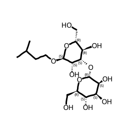 CC(C)CCO[C@H]1O[C@H](CO)[C@@H](O)[C@H](O[C@H]2O[C@H](CO)[C@@H](O)[C@H](O)[C@@H]2O)[C@@H]1O